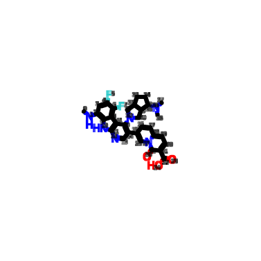 CNc1cc(F)c(F)c2c1[nH]c1ncc(-c3ccc4ccc(C(=O)O)c(=O)n4c3)c(N3CC4CC[C@@H](N(C)C)C4C3)c12